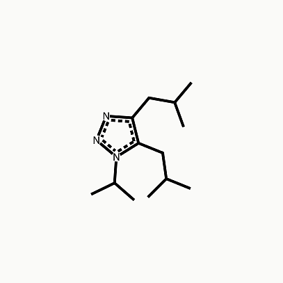 CC(C)Cc1nnn(C(C)C)c1CC(C)C